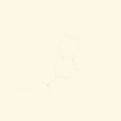 CCOC(=O)c1cc(OCC)c2ccc(Br)cc2c1